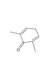 CC1=CCC=C(C)C1=O